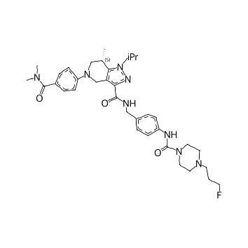 CC(C)n1nc(C(=O)NCc2ccc(NC(=O)N3CCN(CCCF)CC3)cc2)c2c1[C@@H](C)CN(c1ccc(C(=O)N(C)C)cc1)C2